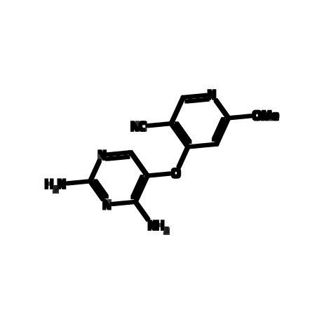 COc1cc(Oc2cnc(N)nc2N)c(C#N)cn1